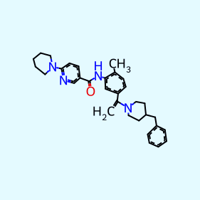 C=C(c1ccc(C)c(NC(=O)c2ccc(N3CCCCC3)nc2)c1)N1CCC(Cc2ccccc2)CC1